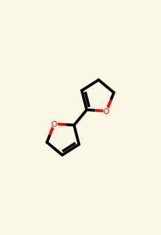 C1=CC(C2=CCCO2)OC1